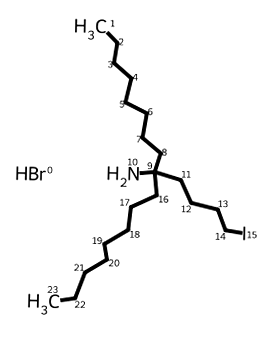 Br.CCCCCCCCC(N)(CCCCI)CCCCCCCC